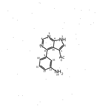 CC(=O)c1c[nH]c2ncnc(-c3cccc(N)c3)c12